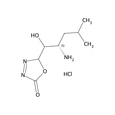 CC(C)C[C@H](N)C(O)C1N=NC(=O)O1.Cl